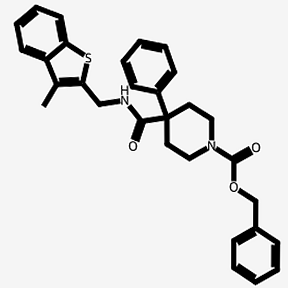 Cc1c(CNC(=O)C2(c3ccccc3)CCN(C(=O)OCc3ccccc3)CC2)sc2ccccc12